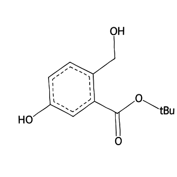 CC(C)(C)OC(=O)c1cc(O)ccc1CO